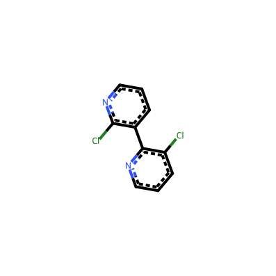 Clc1cccnc1-c1cccnc1Cl